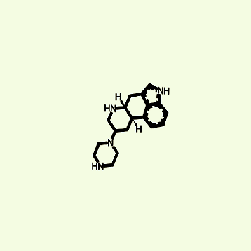 c1cc2c3c(c[nH]c3c1)C[C@H]1NCC(N3CCNCC3)C[C@H]21